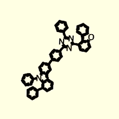 c1ccc(-c2nc(-c3ccc(-c4ccc5c(c4)c4cccc(-c6ccccc6)c4n5-c4ccccc4)cc3)nc(-c3cccc4oc5ccccc5c34)n2)cc1